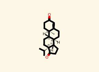 CC(C)[C@]12CC[C@H]3[C@@H](CCC4=CC(=O)CC[C@@]43C)[C@@H]1CCC2=O